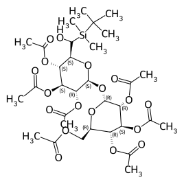 CC(=O)OC[C@H]1O[C@H](O[C@@H]2O[C@H](C(O)[Si](C)(C)C(C)(C)C)[C@@H](OC(C)=O)[C@H](OC(C)=O)[C@H]2OC(C)=O)[C@H](OC(C)=O)[C@@H](OC(C)=O)[C@@H]1OC(C)=O